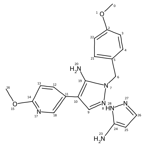 COc1ccc(Cn2ncc(-c3ccc(OC)nc3)c2N)cc1.Nc1ccn[nH]1